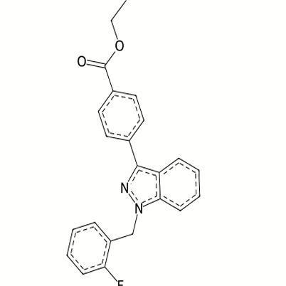 CCOC(=O)c1ccc(-c2nn(Cc3ccccc3F)c3ccccc23)cc1